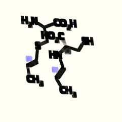 C/C=C/N[C@@H](CS)C(=O)O.C/C=C/SCC(N)C(=O)O